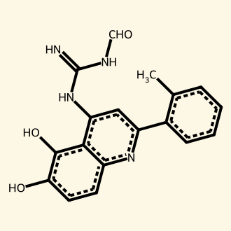 Cc1ccccc1-c1cc(NC(=N)NC=O)c2c(O)c(O)ccc2n1